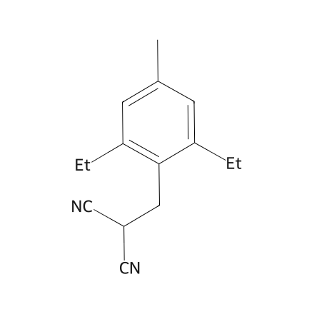 CCc1cc(C)cc(CC)c1CC(C#N)C#N